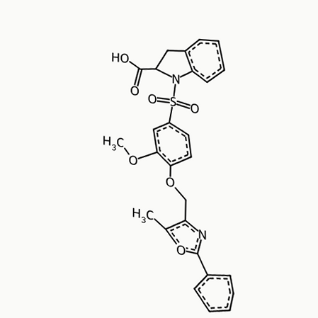 COc1cc(S(=O)(=O)N2c3ccccc3CC2C(=O)O)ccc1OCc1nc(-c2ccccc2)oc1C